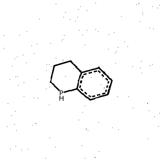 c1ccc2c(c1)CCCP2